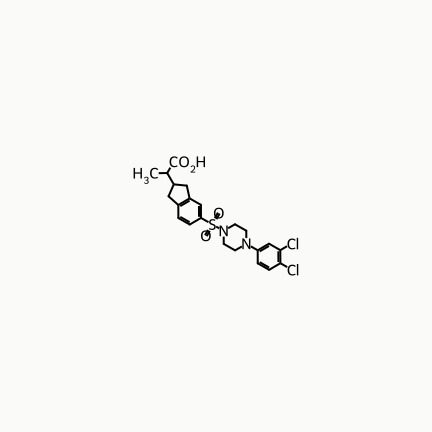 CC(C(=O)O)C1Cc2ccc(S(=O)(=O)N3CCN(c4ccc(Cl)c(Cl)c4)CC3)cc2C1